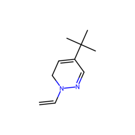 C=CN1CC=C(C(C)(C)C)C=N1